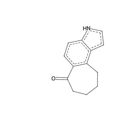 O=C1CCCCc2c1ccc1[nH]ccc21